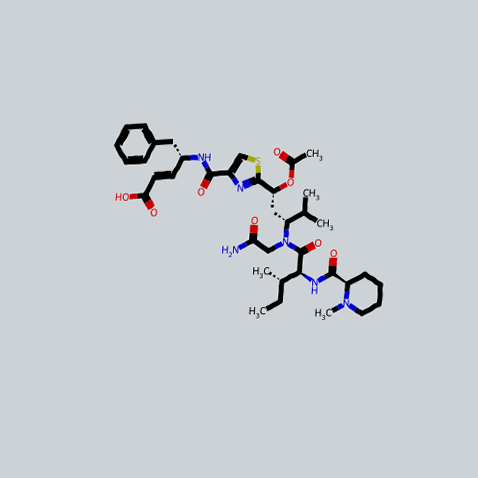 CC[C@H](C)[C@H](NC(=O)[C@H]1CCCCN1C)C(=O)N(CC(N)=O)[C@H](C[C@@H](OC(C)=O)c1nc(C(=O)N[C@H](/C=C/C(=O)O)Cc2ccccc2)cs1)C(C)C